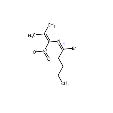 CCCC/C(Br)=N\C(=C(C)C)[N+](=O)[O-]